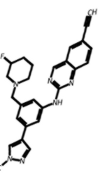 C#Cc1ccc2nc(Nc3cc(CN4CCCC(F)C4)cc(-c4cnn(C)c4)c3)ncc2c1